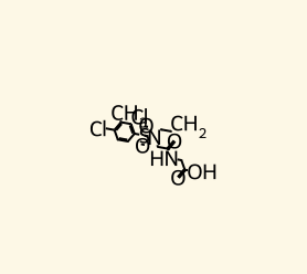 C=CCN(CC(=O)NCC(=O)O)S(=O)(=O)c1ccc(Cl)c(C)c1Cl